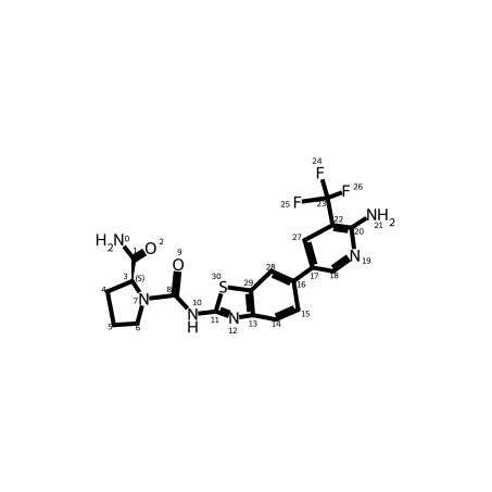 NC(=O)[C@@H]1CCCN1C(=O)Nc1nc2ccc(-c3cnc(N)c(C(F)(F)F)c3)cc2s1